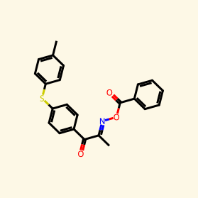 C/C(=N\OC(=O)c1ccccc1)C(=O)c1ccc(Sc2ccc(C)cc2)cc1